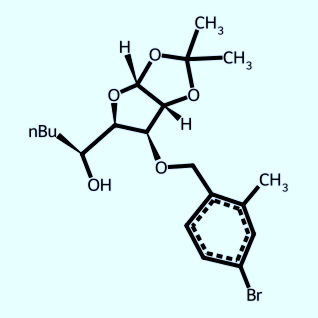 CCCC[C@H](O)[C@H]1O[C@@H]2OC(C)(C)O[C@@H]2[C@H]1OCc1ccc(Br)cc1C